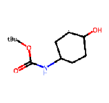 CC(C)(C)OC(=O)NC1C[CH]C(O)CC1